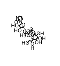 O=c1ncccn1[C@@H]1O[C@H](COP(=O)(S)OP(=O)(O)OC2OC([C@@H](O)CO)C(O)C(O)C2O)[C@@H](O)[C@H]1O